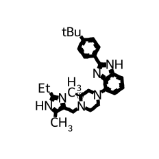 CCc1nc(CN2CCN(c3cccc4[nH]c(-c5ccc(C(C)(C)C)cc5)nc34)C[C@@H]2C)c(C)[nH]1